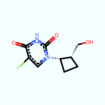 O=c1[nH]c(=O)n([C@H]2CC[C@H]2CO)cc1F